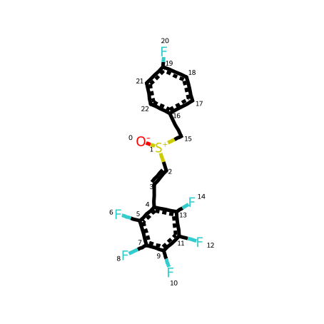 [O-][S+](/C=C/c1c(F)c(F)c(F)c(F)c1F)Cc1ccc(F)cc1